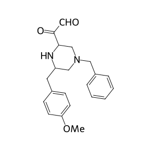 COc1ccc(CC2CN(Cc3ccccc3)CC(C(=O)C=O)N2)cc1